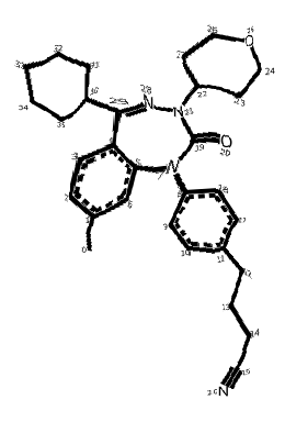 Cc1ccc2c(c1)N(c1ccc(CCCC#N)cc1)C(=O)N(C1CCOCC1)N=C2C1CCCCC1